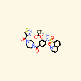 O=C(c1ccc(NS(=O)(=O)c2cccc3cccnc23)c(OC(=O)C(F)(F)F)c1)N1CCCN(C(=O)c2csnn2)CC1